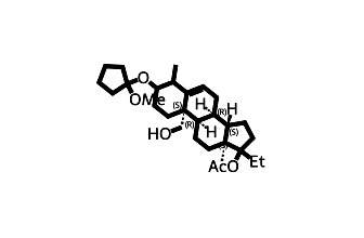 CCC1(OC(C)=O)CC[C@H]2[C@@H]3CC=C4C(C)C(OC5(OC)CCCC5)CC[C@]4(CO)[C@@H]3CC[C@@]21C